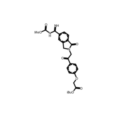 COC(=O)NC(=N)c1ccc2c(c1)CN(CC(=O)c1ccc(OCC(=O)OCC(C)C)cc1)C2=O